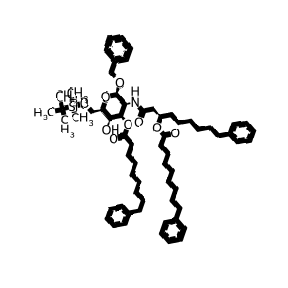 CC(C)(C)[Si](C)(C)OC[C@H]1O[C@@H](OCc2ccccc2)[C@H](NC(=O)C[C@@H](CCCCCCc2ccccc2)OC(=O)CCCCCCCCc2ccccc2)[C@@H](OC(=O)CCCCCCCCc2ccccc2)[C@@H]1O